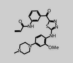 C=CC(=O)Nc1cccc(C(=O)c2nnc(Nc3ccc(N4CCN(C)CC4)cc3OC)s2)c1